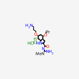 CNC(N)=NC(=O)c1cc2c(OC(C)C)cc(OCCCN)cc2[nH]1.Cl.Cl